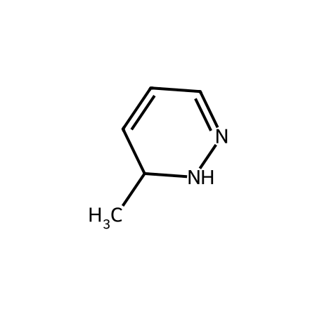 CC1C=CC=NN1